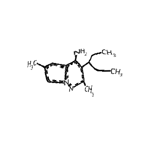 CCC(CC)c1c(C)nn2cc(C)cc2c1N